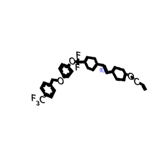 C=CCOC1CCC(/C=C/C2CCC(C(F)(F)Oc3ccc(OCc4ccc(C(F)(F)F)cc4)cc3)CC2)CC1